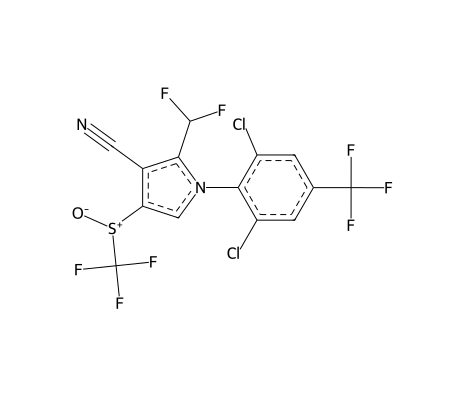 N#Cc1c([S+]([O-])C(F)(F)F)cn(-c2c(Cl)cc(C(F)(F)F)cc2Cl)c1C(F)F